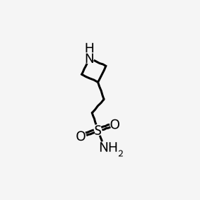 NS(=O)(=O)CCC1CNC1